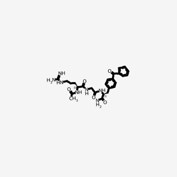 CC(=O)N[C@@H](CCCNC(=N)N)C(=O)NCC(=O)N[C@@H](Cc1ccc(C(=O)c2ccccc2)cc1)C(N)=O